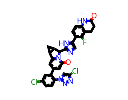 O=C1CCc2c(ccc(-c3cnc(C4C5CC5c5cc(-c6cc(Cl)ccc6-n6cc(Cl)nn6)cc(=O)n54)[nH]3)c2F)N1